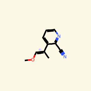 CO/C=C(\C)c1cccnc1C#N